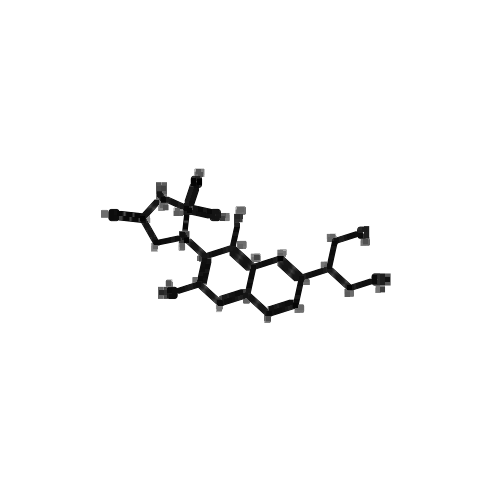 O=C1CN(c2c(O)cc3ccc(C(CO)CCl)cc3c2F)S(=O)(=O)N1